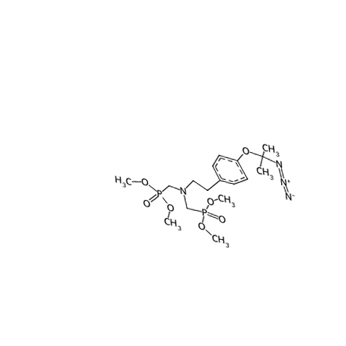 COP(=O)(CN(CCc1ccc(OC(C)(C)N=[N+]=[N-])cc1)CP(=O)(OC)OC)OC